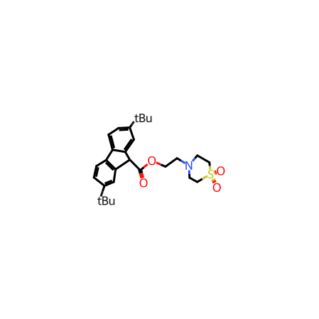 CC(C)(C)c1ccc2c(c1)C(C(=O)OCCN1CCS(=O)(=O)CC1)c1cc(C(C)(C)C)ccc1-2